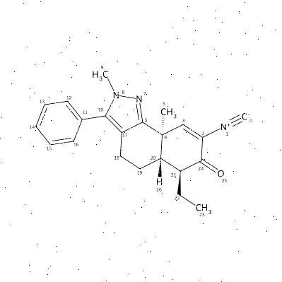 [C-]#[N+]C1=C[C@]2(C)c3nn(C)c(-c4ccccc4)c3CC[C@H]2[C@H](CC)C1=O